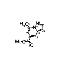 COC(=O)c1cc(C)n2nccc2c1